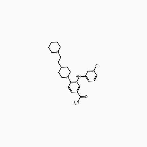 NC(=O)c1ccc(N2CCC(CCN3CCCCC3)CC2)c(Nc2cccc(Cl)c2)c1